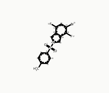 Cc1ccc(S(=O)(=O)n2cc3c(F)cc(Br)c(F)c3c2)cc1